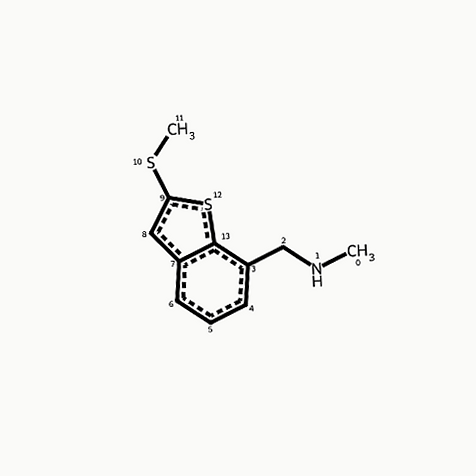 CNCc1cccc2cc(SC)sc12